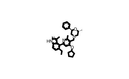 CCc1ccc2[nH]nc(C)c2c1-c1cc(OC2CCCC2)c(CN2C[C@@H](C)O[C@H](c3ccccc3)C2)c(C)n1